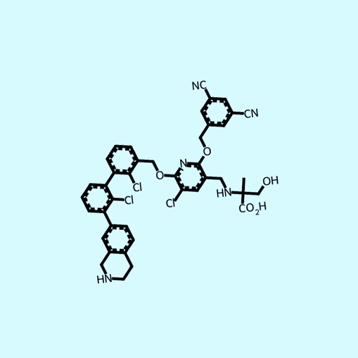 CC(CO)(NCc1cc(Cl)c(OCc2cccc(-c3cccc(-c4ccc5c(c4)CNCC5)c3Cl)c2Cl)nc1OCc1cc(C#N)cc(C#N)c1)C(=O)O